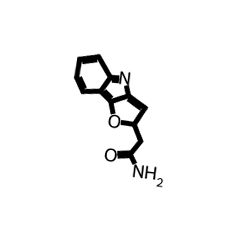 NC(=O)CC1C=C2N=c3ccccc3=C2O1